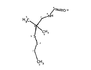 CCSSC(C)(C)CNC=O